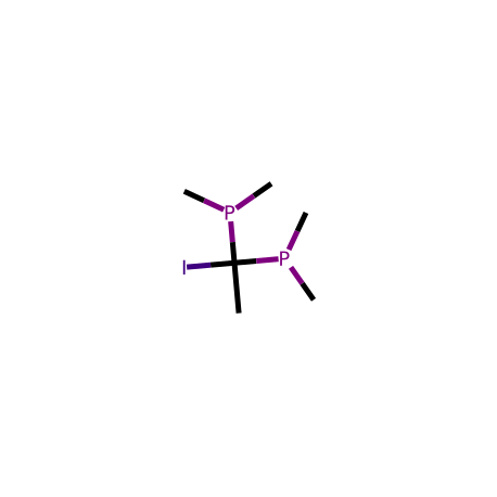 CP(C)C(C)(I)P(C)C